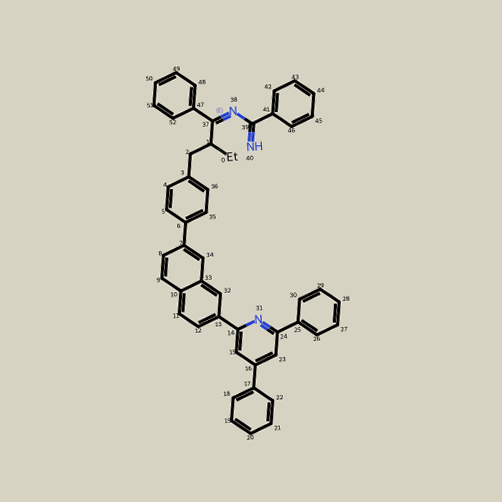 CCC(Cc1ccc(-c2ccc3ccc(-c4cc(-c5ccccc5)cc(-c5ccccc5)n4)cc3c2)cc1)/C(=N\C(=N)c1ccccc1)c1ccccc1